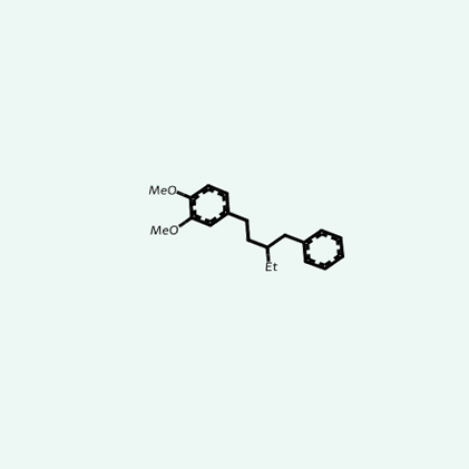 [CH2]CC(CCc1ccc(OC)c(OC)c1)Cc1ccccc1